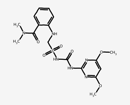 COc1cc(OC)nc(NC(=O)NS(=O)(=O)CNc2ccccc2C(=O)N(C)C)n1